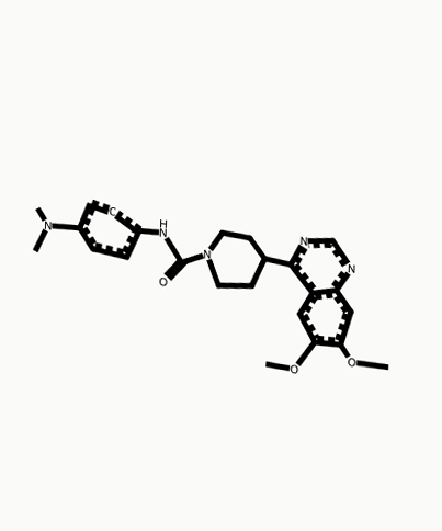 COc1cc2ncnc(C3CCN(C(=O)Nc4ccc(N(C)C)cc4)CC3)c2cc1OC